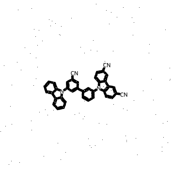 N#Cc1cc(-c2cccc(-n3c4ccc(C#N)cc4c4cc(C#N)ccc43)c2)cc(-n2c3ccccc3c3ccccc32)c1